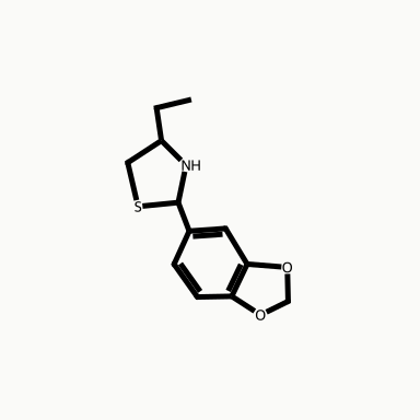 CCC1CSC(c2ccc3c(c2)OCO3)N1